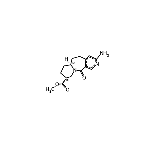 COC(=O)[C@H]1CC[C@H]2CCc3cc(N)ncc3C(=O)N2C1